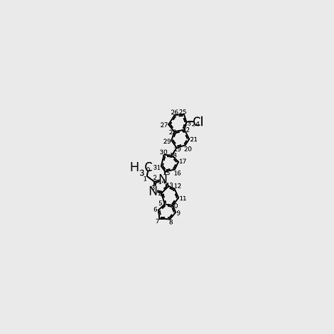 CCc1nc2c3ccccc3ccc2n1-c1ccc(-c2ccc3c(Cl)cccc3c2)cc1